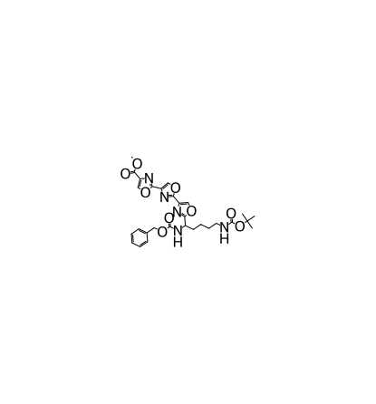 COC(=O)c1coc(-c2coc(-c3coc(C(CCCCNC(=O)OC(C)(C)C)NC(=O)OCc4ccccc4)n3)n2)n1